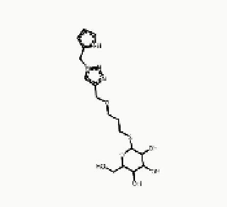 OCC1OC(SCCCOCc2cn(Cc3ccc[nH]3)nn2)C(O)C(O)C1O